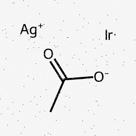 CC(=O)[O-].[Ag+].[Ir]